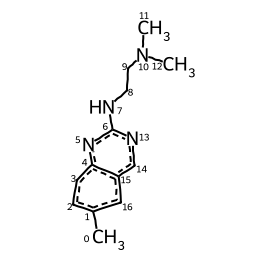 Cc1ccc2nc(NCCN(C)C)ncc2c1